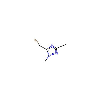 Cc1nc(CBr)n(C)n1